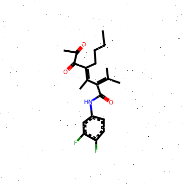 CCCC/C(C(=O)C(C)=O)=C(/C)C(C(=O)Nc1ccc(F)c(F)c1)=C(C)C